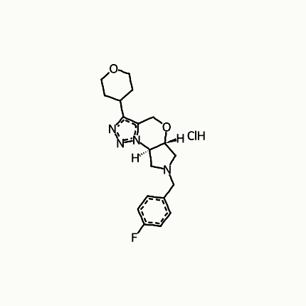 Cl.Fc1ccc(CN2C[C@@H]3[C@@H](C2)OCc2c(C4CCOCC4)nnn23)cc1